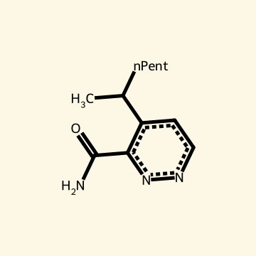 CCCCCC(C)c1ccnnc1C(N)=O